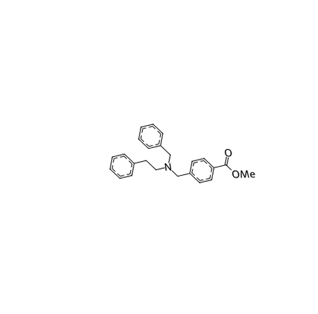 COC(=O)c1ccc(CN(CCc2ccccc2)Cc2ccccc2)cc1